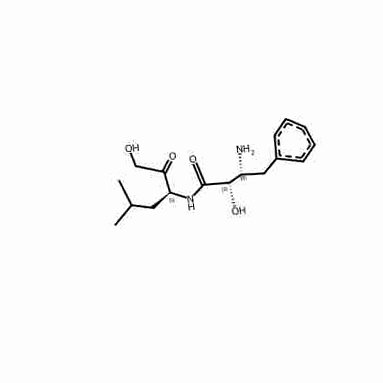 CC(C)C[C@H](NC(=O)[C@@H](O)[C@H](N)Cc1ccccc1)C(=O)CO